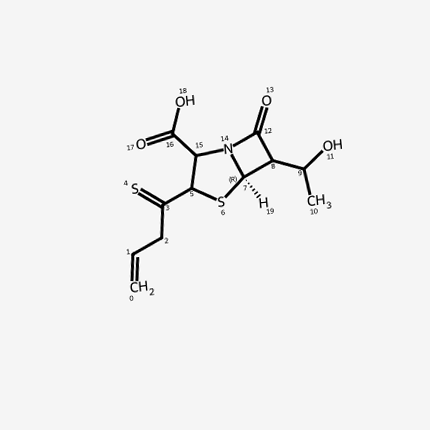 C=CCC(=S)C1S[C@@H]2C(C(C)O)C(=O)N2C1C(=O)O